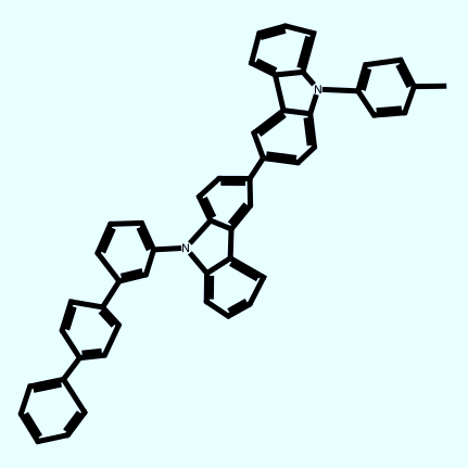 Cc1ccc(-n2c3ccccc3c3cc(-c4ccc5c(c4)c4ccccc4n5-c4cccc(-c5ccc(-c6ccccc6)cc5)c4)ccc32)cc1